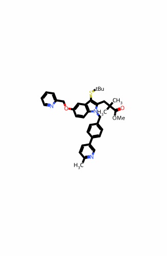 COC(=O)C(C)(C)Cc1c(SC(C)(C)C)c2cc(OCc3ccccn3)ccc2n1Cc1ccc(-c2ccc(C)nc2)cc1